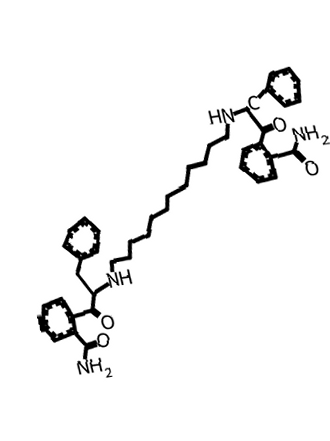 NC(=O)c1ccccc1C(=O)C(Cc1ccccc1)NCCCCCCCCCCCCNC(Cc1ccccc1)C(=O)c1ccccc1C(N)=O